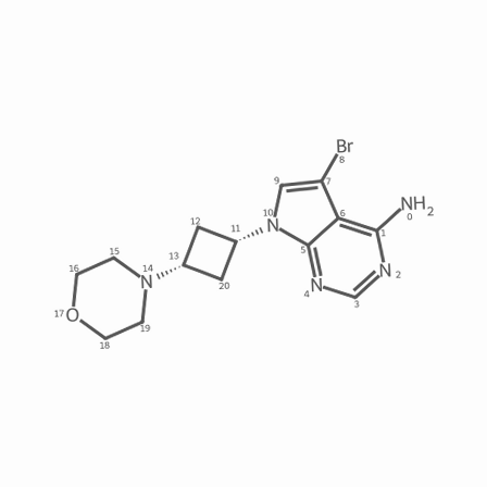 Nc1ncnc2c1c(Br)cn2[C@H]1C[C@@H](N2CCOCC2)C1